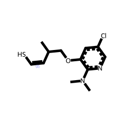 CC(/C=C\S)COc1cc(Cl)cnc1N(C)C